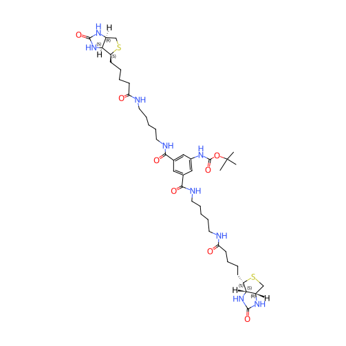 CC(C)(C)OC(=O)Nc1cc(C(=O)NCCCCCNC(=O)CCCC[C@@H]2SC[C@@H]3NC(=O)N[C@@H]32)cc(C(=O)NCCCCCNC(=O)CCCC[C@@H]2SC[C@@H]3NC(=O)N[C@@H]32)c1